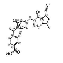 CC1CC(C#N)N(C(=O)C(N)CN2C[C@@H]3CC2C(=O)N3C(C)c2ccc(C(=O)O)cc2)C1